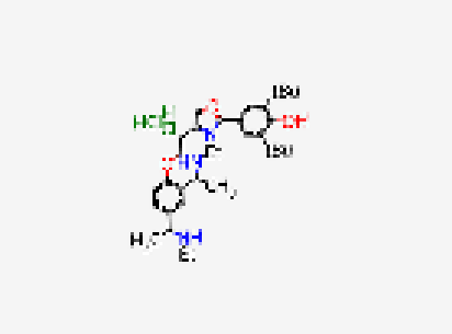 CCNC(C)c1ccc(OCCc2coc(-c3cc(C(C)(C)C)c(O)c(C(C)(C)C)c3)n2)c(C(C)NCC)c1.Cl.Cl